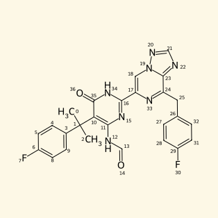 CC(C)(c1ccc(F)cc1)c1c(NC=O)nc(-c2cn3ncnc3c(Cc3ccc(F)cc3)n2)[nH]c1=O